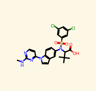 CNc1nccc(-n2ccc3cc(N(C(C(=O)O)C(C)(C)C)S(=O)(=O)c4cc(Cl)cc(Cl)c4)ccc32)n1